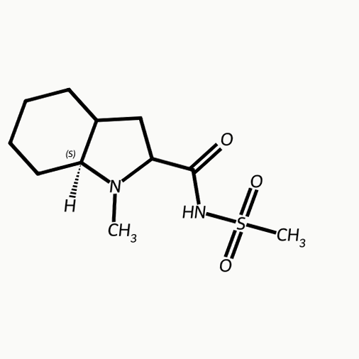 CN1C(C(=O)NS(C)(=O)=O)CC2CCCC[C@@H]21